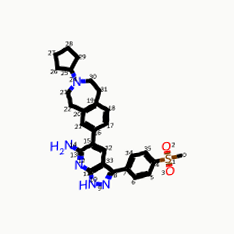 CS(=O)(=O)c1ccc(-c2n[nH]c3nc(N)c(-c4ccc5c(c4)CCN(C4CCCC4)CC5)cc23)cc1